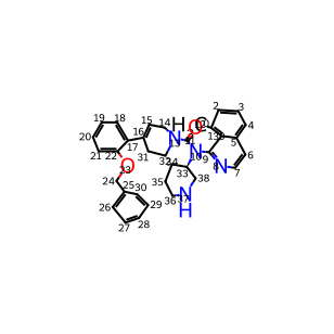 Cc1cccc2ccnc(N(C(=O)N3CC=C(c4ccccc4OCc4ccccc4)CC3)[C@@H]3CCCNC3)c12